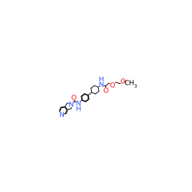 COCCOCC(=O)NC1CCC(c2ccc(NC(=O)N3Cc4ccncc4C3)cc2)CC1